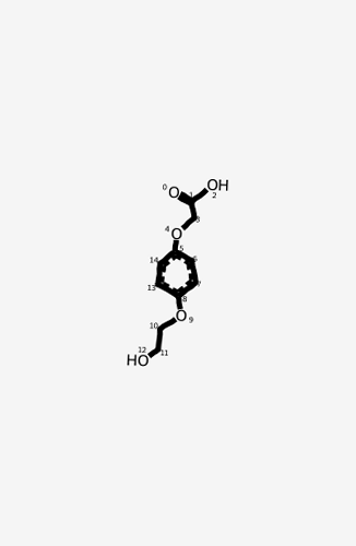 O=C(O)COc1ccc(OCCO)cc1